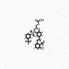 O=C(O)CCC1CN(S(=O)(=O)c2cccc(C(F)(F)F)c2)c2cc(C=Cc3cccc(Cl)c3C(F)(F)F)ccc2O1